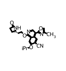 Cc1coc(-c2cnc(OCC[C@@H]3CCC(=O)N3)c3cc(OC(C)C)c(C#N)cc23)n1